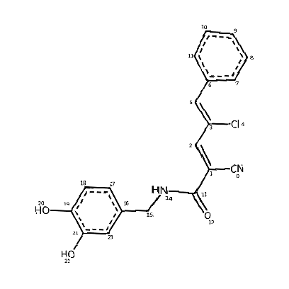 N#C/C(=C\C(Cl)=C\c1ccccc1)C(=O)NCc1ccc(O)c(O)c1